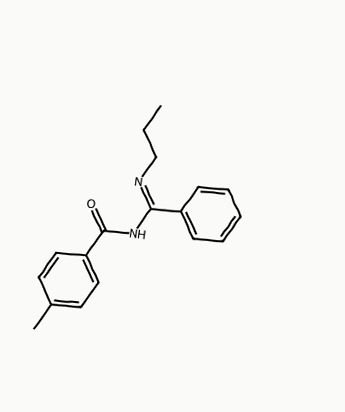 CCCN=C(NC(=O)c1ccc(C)cc1)c1ccccc1